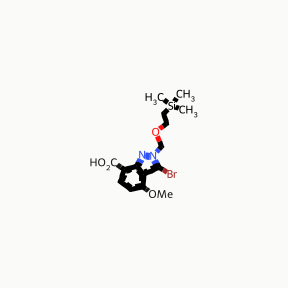 COc1ccc(C(=O)O)c2nn(COCC[Si](C)(C)C)c(Br)c12